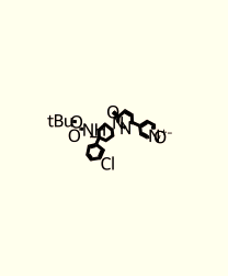 CC(C)(C)OC(=O)NC[C@]1(c2cccc(Cl)c2)CC[C@@H](n2nc(-c3cc[n+]([O-])cc3)ccc2=O)CC1